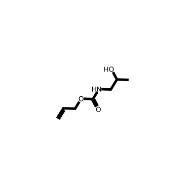 C=CCOC(=O)NCC(C)O